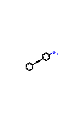 Nc1ccc(C#Cc2c[c]ccc2)cc1